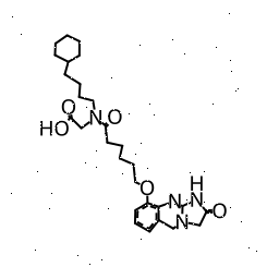 O=C(O)CN(CCCCC1CCCCC1)C(=O)CCCCCOc1cccc2c1N=C1NC(=O)CN1C2